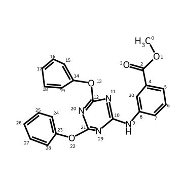 COC(=O)c1cccc(Nc2nc(Oc3ccccc3)nc(Oc3ccccc3)n2)c1